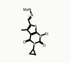 CCn1c(=O)n(C2CC2)c(=O)c2c(C)c(/C=N/NC)sc21